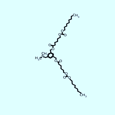 CCCCCCCCCOC(=O)OCCCCCC(=O)OCc1cc(COC(=O)CCCCCOC(=O)OCCCCCCCCC)cc(CN(C)C)c1